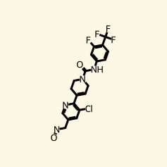 O=NCc1cnc(C2=CCN(C(=O)Nc3ccc(C(F)(F)F)c(F)c3)CC2)c(Cl)c1